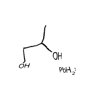 CC(O)CO.[PbH2]